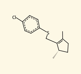 CC1=C(CSc2ccc(Cl)cc2)[C@@H](C)CC1